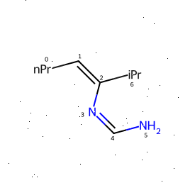 CCC/C=C(\N=C/N)C(C)C